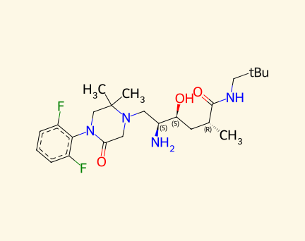 C[C@H](C[C@H](O)[C@@H](N)CN1CC(=O)N(c2c(F)cccc2F)CC1(C)C)C(=O)NCC(C)(C)C